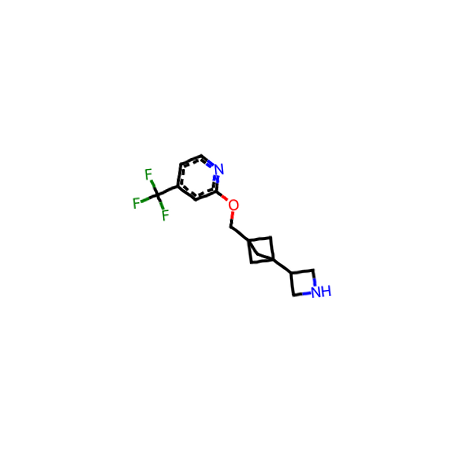 FC(F)(F)c1ccnc(OCC23CC(C4CNC4)(C2)C3)c1